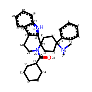 CN(C)C1(c2ccccc2)CCC2(CC1)c1[nH]c3ccccc3c1CCN2C(=O)C1CCCCC1